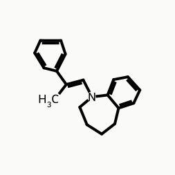 C/C(=C\N1CCCCc2ccccc21)c1ccccc1